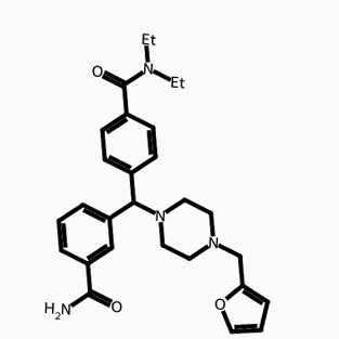 CCN(CC)C(=O)c1ccc(C(c2cccc(C(N)=O)c2)N2CCN(Cc3ccco3)CC2)cc1